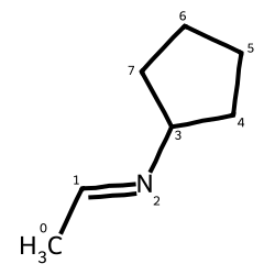 CC=NC1CCCC1